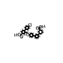 O=C(O)c1ccc(-c2ccc(Cl)cc2)c(COc2ccc(-c3[c]ccc(C4CCCC(C(=O)O)C4)c3)cc2)c1